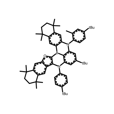 Cc1cc(C(C)(C)C)ccc1N1c2cc3c(cc2B2c4oc5cc6c(cc5c4N(c4ccc(C(C)(C)C)cc4)c4cc(C(C)(C)C)cc1c42)C(C)(C)CCC6(C)C)C(C)(C)CCC3(C)C